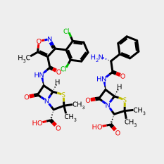 CC1(C)S[C@@H]2[C@H](NC(=O)[C@H](N)c3ccccc3)C(=O)N2[C@H]1C(=O)O.Cc1onc(-c2c(Cl)cccc2Cl)c1C(=O)N[C@@H]1C(=O)N2[C@@H]1SC(C)(C)[C@@H]2C(=O)O